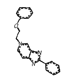 c1ccc(OCCn2ccc3nc(-c4ccccc4)nc-3c2)cc1